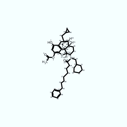 CC(=O)Oc1cc(O)c2c3c1O[C@H]1[C@@H](N(CC4CCCCC4)C(=O)CCCCCCCc4ccccc4)CC[C@H]4[C@@H](C2)N(CC2CC2)CC[C@@]341